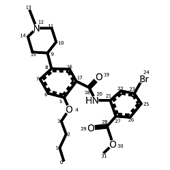 CCCCOc1ccc(C2CCN(C)CC2)cc1C(=O)Nc1cc(Br)ccc1C(=O)OC